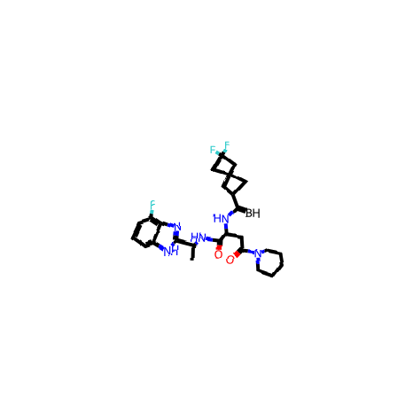 B=C(NC(CC(=O)N1CCCCC1)C(=O)NC(C)c1nc2c(F)cccc2[nH]1)C1CC2(C1)CC(F)(F)C2